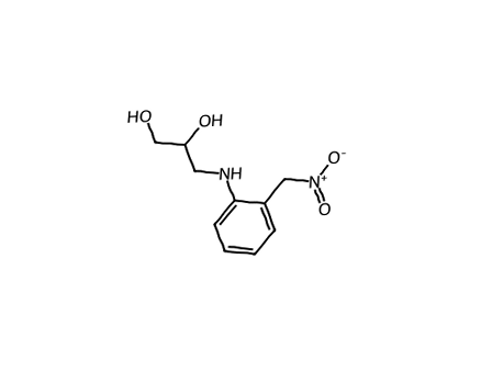 O=[N+]([O-])Cc1ccccc1NCC(O)CO